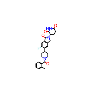 Cc1ccccc1C(=O)N1CCC(c2cc3c(cc2F)C(=O)N(C2CCC(=O)NC2=O)C3)CC1